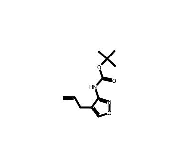 C=CCc1conc1NC(=O)OC(C)(C)C